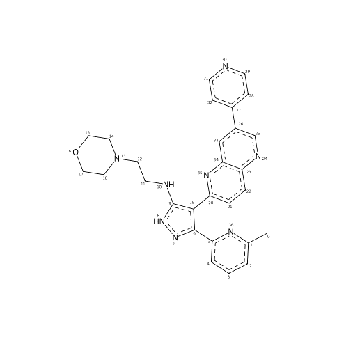 Cc1cccc(-c2n[nH]c(NCCN3CCOCC3)c2-c2ccc3ncc(-c4ccncc4)cc3n2)n1